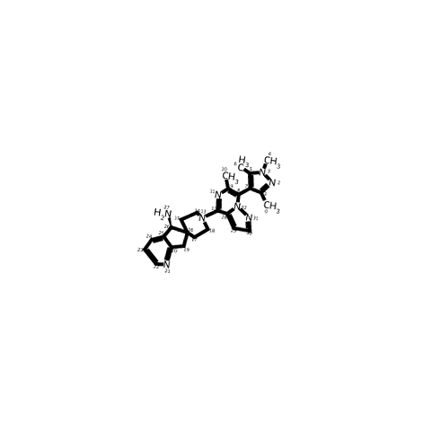 Cc1nn(C)c(C)c1-c1c(C)nc(N2CCC3(CC2)Cc2ncccc2[C@H]3N)c2ccnn12